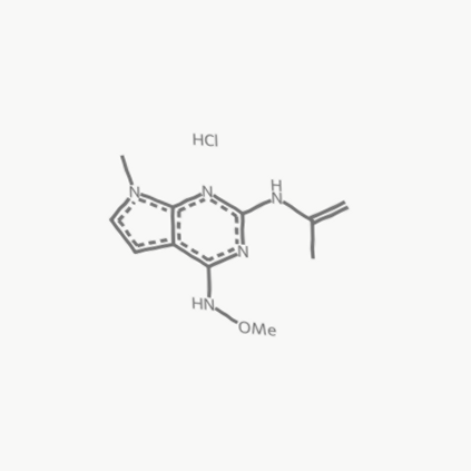 C=C(C)Nc1nc(NOC)c2ccn(C)c2n1.Cl